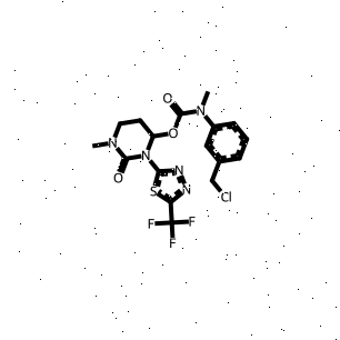 CN1CCC(OC(=O)N(C)c2cccc(CCl)c2)N(c2nnc(C(F)(F)F)s2)C1=O